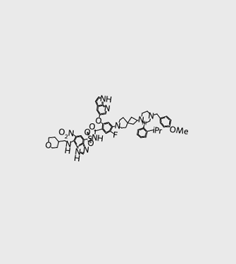 COc1ccc(CN2CCN(C3CC4(CCN(c5cc(Oc6cnc7[nH]ccc7c6)c(C(=O)NS(=O)(=O)c6cc([N+](=O)[O-])c(NCC7CCOCC7)c7[nH]cnc67)cc5F)CC4)C3)[C@H](c3ccccc3C(C)C)C2)cc1